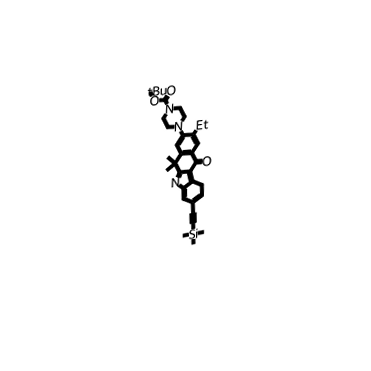 CCc1cc2c(cc1N1CCN(C(=O)OC(C)(C)C)CC1)C(C)(C)C1=NC3=CC(C#C[Si](C)(C)C)=CCC3=C1C2=O